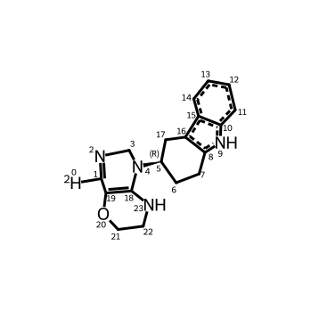 [2H]C1=NCN([C@@H]2CCc3[nH]c4ccccc4c3C2)C2=C1OCCN2